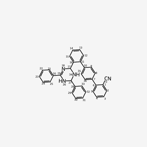 N#Cc1ccccc1-c1ccc(-c2ccccc2C2N=C(c3ccccc3)NC(c3ccccc3)N2)cc1